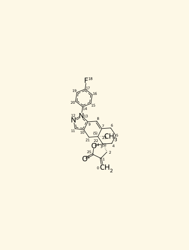 C=C1C[C@]2(CCCC3=Cc4c(cnn4-c4ccc(F)cc4)C[C@@]32C)OC1=O